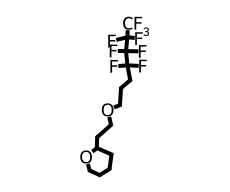 FC(F)(F)C(F)(F)C(F)(F)C(F)(F)CCCOCCC1CCCCO1